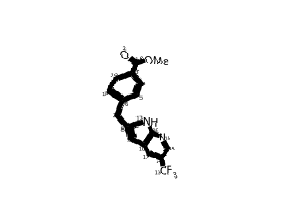 COC(=O)c1ccc(Cc2cc3cc(C(F)(F)F)cnc3[nH]2)cc1